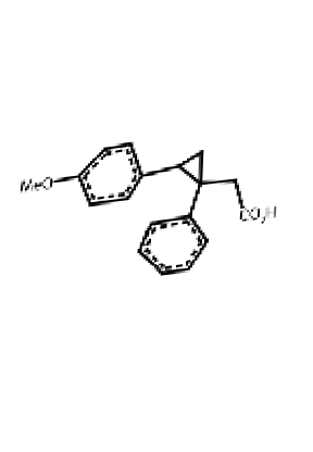 COc1ccc(C2CC2(CC(=O)O)c2ccccc2)cc1